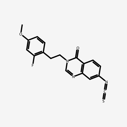 COc1ccc(CCn2cnc3cc(N=C=S)ccc3c2=O)c(F)c1